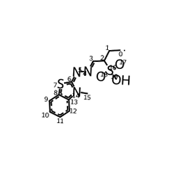 [CH2]CC(C=NN=c1sc2ccccc2n1C)S(=O)(=O)O